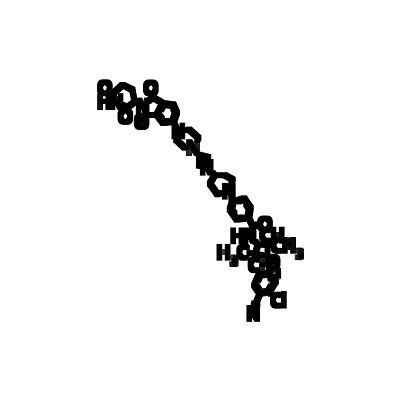 CC1(C)C(NC(=O)c2ccc(N3CCC(N4CC(N5CCN(c6ccc7c(c6)C(=O)N(C6CCC(=O)NC6=O)C7=O)CC5)C4)CC3)cc2)C(C)(C)C1Oc1ccc(C#N)c(Cl)c1